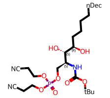 CCCCCCCCCCCCCC[C@@H](O)[C@@H](O)[C@H](COP(=O)(OCCC#N)OCCC#N)NC(=O)OC(C)(C)C